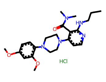 CCCNc1nccc(N2CCN(c3ccc(OC)cc3OC)CC2)c1C(=O)N(C)C.Cl